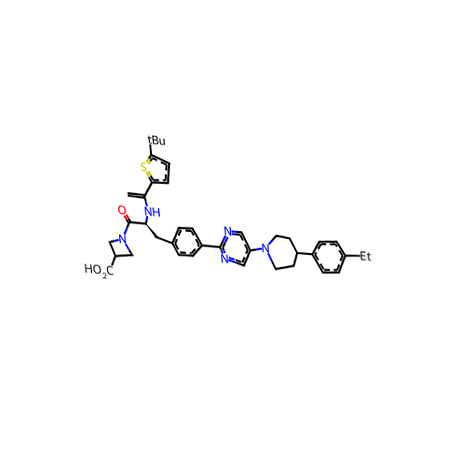 C=C(N[C@@H](Cc1ccc(-c2ncc(N3CCC(c4ccc(CC)cc4)CC3)cn2)cc1)C(=O)N1CC(C(=O)O)C1)c1ccc(C(C)(C)C)s1